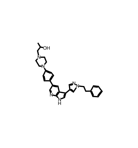 CC(O)CN1CCN(c2ccc(-c3cnc4[nH]cc(-c5cnn(CCc6ccccc6)c5)c4c3)cc2)CC1